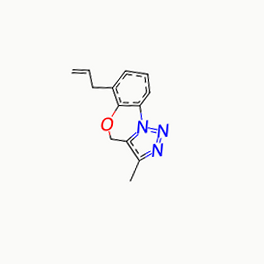 C=CCc1cccc2c1OCc1c(C)nnn1-2